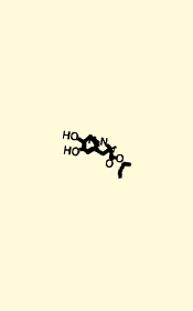 CCC(C)OC(=O)[C@@](C)(N)Cc1ccc(O)c(O)c1